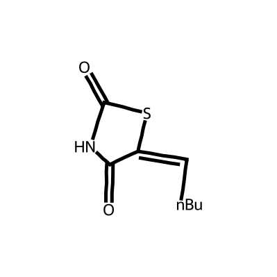 CCCCC=C1SC(=O)NC1=O